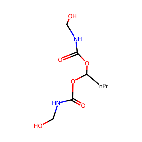 CCCC(OC(=O)NCO)OC(=O)NCO